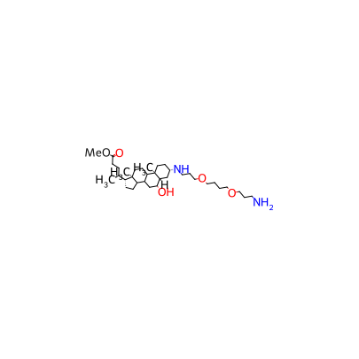 COC(=O)CC[C@H](C)[C@H]1CCC2C3C[C@@H](O)[C@H]4C[C@@H](NCCCOCCCCOCCCN)CC[C@]4(C)C3CC[C@@]21C